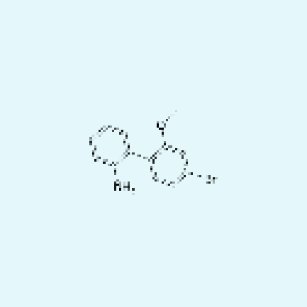 COc1cc(Br)ccc1-c1ccccc1N